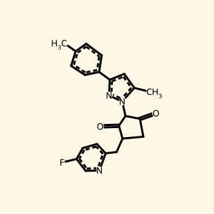 Cc1ccc(-c2cc(C)n(C3C(=O)CC(Cc4ccc(F)cn4)C3=O)n2)cc1